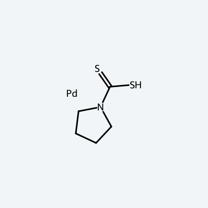 S=C(S)N1CCCC1.[Pd]